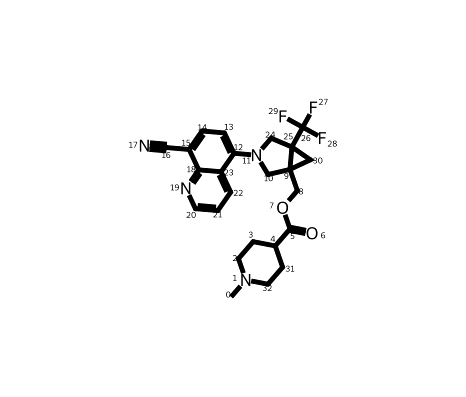 CN1CCC(C(=O)OCC23CN(c4ccc(C#N)c5ncccc45)CC2(C(F)(F)F)C3)CC1